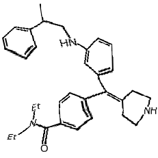 CCN(CC)C(=O)c1ccc(C(=C2CCNCC2)c2cccc(NCC(C)c3ccccc3)c2)cc1